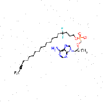 C[C@H](Cn1cnc2c(N)ncnc21)OCP(=O)(O)OCCCC(F)(F)CCCCCCCCCCCCCC#CC(F)(F)F